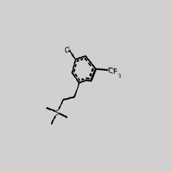 CS(C)(C)CCc1cc(Cl)cc(C(F)(F)F)c1